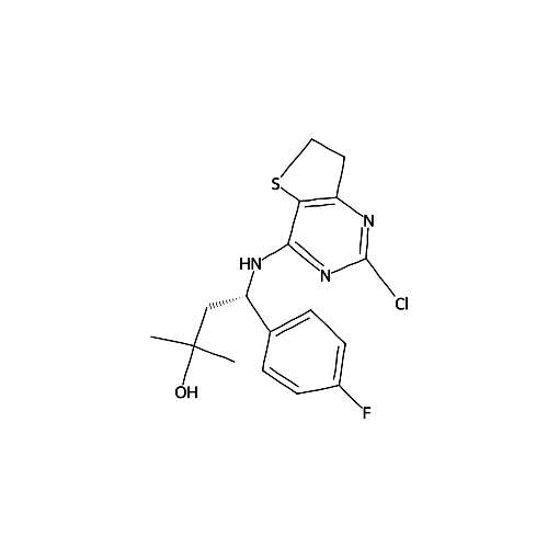 CC(C)(O)C[C@H](Nc1nc(Cl)nc2c1SCC2)c1ccc(F)cc1